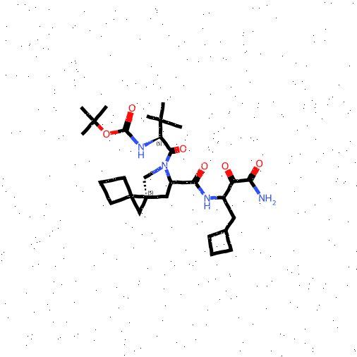 CC(C)(C)OC(=O)N[C@H](C(=O)N1C[C@]2(CC1C(=O)NC(CC1CCC1)C(=O)C(N)=O)CC21CCC1)C(C)(C)C